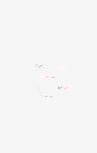 C=COC(C)=O.O=C1CC=COC1O